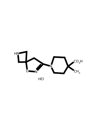 CC1(C(=O)O)CCN(C2=NOC3(CNC3)C2)CC1.Cl